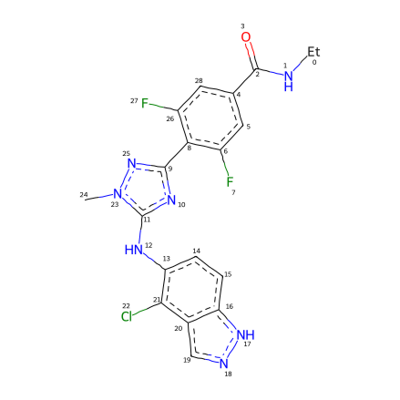 CCNC(=O)c1cc(F)c(-c2nc(Nc3ccc4[nH]ncc4c3Cl)n(C)n2)c(F)c1